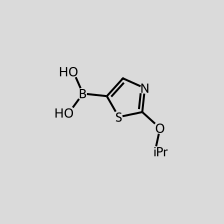 CC(C)Oc1ncc(B(O)O)s1